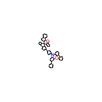 c1ccc(-c2ccc(N(c3ccc(-c4ccc5c(c4)C4(c6ccccc6Oc6c4ccc4ccccc64)c4ccccc4-5)cc3)c3cccc4c3oc3ccccc34)cc2)cc1